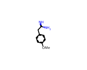 COc1ccc(CC(=N)N)cc1